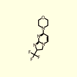 FC(F)(F)C1CN2C=CC(N3CCOCC3)=NC2=N1